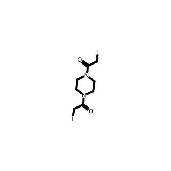 O=C(CI)N1CCN(C(=O)CI)CC1